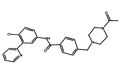 CC(=O)N1CCN(Cc2ccc(C(=O)Nc3ccc(Cl)c(-c4ccccn4)c3)cc2)CC1